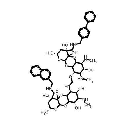 CN[C@@H]1[C@H](O)[C@H](NCO[C@@H]2C3OC4O[C@H](C)C[C@@](O)(CNCc5ccc(-c6ccccc6)cc5)[C@]4(O)OC3[C@@H](NC)[C@@H](O)[C@H]2NC)C2O[C@]3(O)C(OC2[C@H]1O)O[C@H](C)C[C@@]3(O)CNCc1ccc2ccccc2c1